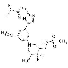 CNc1cc(-c2cnc3ccc(C(F)F)nn23)cc(N2CC(C)C(F)(F)C(CNS(C)(=O)=O)C2)n1